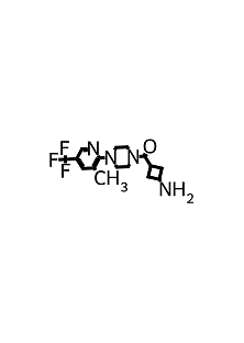 Cc1cc(C(F)(F)F)cnc1N1CCN(C(=O)C2CC(N)C2)CC1